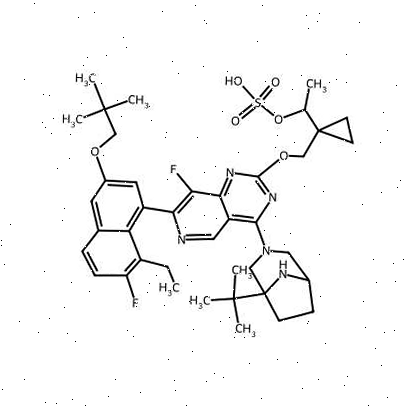 CCc1c(F)ccc2cc(OCC(C)(C)C)cc(-c3ncc4c(N5CC6CCC(C(C)(C)C)(C5)N6)nc(OCC5(C(C)OS(=O)(=O)O)CC5)nc4c3F)c12